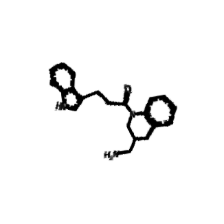 NCC1Cc2ccccc2N(C(=O)CCc2c[nH]c3ccccc23)C1